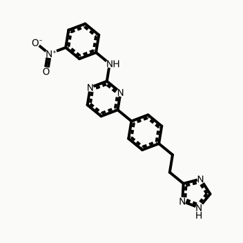 O=[N+]([O-])c1cccc(Nc2nccc(-c3ccc(CCc4nc[nH]n4)cc3)n2)c1